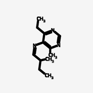 CCc1ncnc(C)c1/N=C\C(C)CC